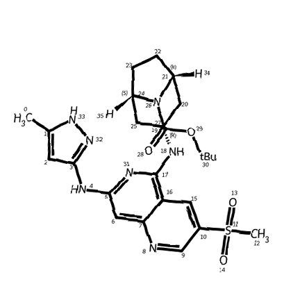 Cc1cc(Nc2cc3ncc(S(C)(=O)=O)cc3c(N[C@H]3C[C@H]4CC[C@@H](C3)N4C(=O)OC(C)(C)C)n2)n[nH]1